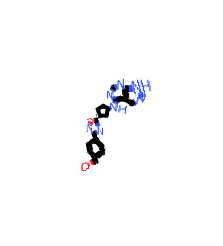 O=Cc1ccc(-c2noc([C@H]3CC[C@H](Nc4ncnc5[nH]ncc45)C3)n2)cc1